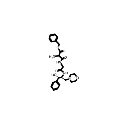 NC(C(=O)NCC(=O)N[C@@H](CN1CCOCC1)[C@@H](O)c1ccccc1)C(=O)OCc1ccccc1